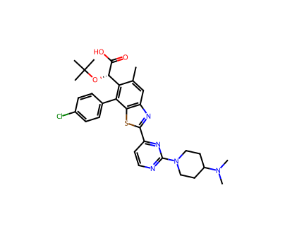 Cc1cc2nc(-c3ccnc(N4CCC(N(C)C)CC4)n3)sc2c(-c2ccc(Cl)cc2)c1[C@H](OC(C)(C)C)C(=O)O